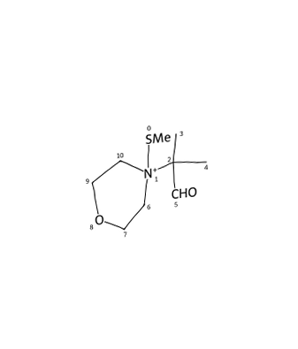 CS[N+]1(C(C)(C)C=O)CCOCC1